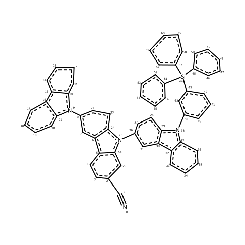 N#Cc1ccc2c3cc(-n4c5ccccc5c5ccccc54)ccc3n(-c3ccc4c(c3)c3ccccc3n4-c3cccc([Si](c4ccccc4)(c4ccccc4)c4ccccc4)c3)c2c1